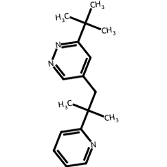 CC(C)(C)c1cc(CC(C)(C)c2ccccn2)cnn1